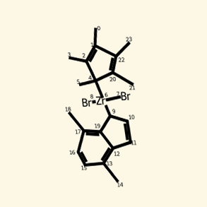 CC1=C(C)[C](C)([Zr]([Br])([Br])[CH]2C=Cc3c(C)ccc(C)c32)C(C)=C1C